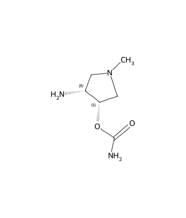 CN1C[C@@H](N)[C@@H](OC(N)=O)C1